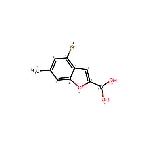 Cc1cc(Br)c2cc(B(O)O)oc2c1